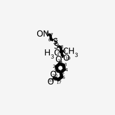 CC(C)(CSSCCN=O)C(=O)Oc1ccc2ccc(=O)oc2c1